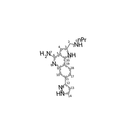 CCCNCc1cc2c(N)nc3cc(-c4cc[nH]n4)ccc3c2[nH]1